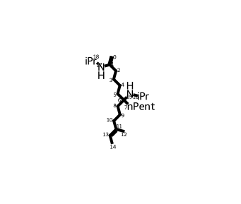 C=C(CCCCC(CCCCC)(CCC/C(C)=C/C)NC(C)C)NC(C)C